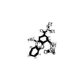 CCCCNc1cc(C(=O)N(CC)CC)cc(N[SH](=O)=O)c1Oc1ccccc1